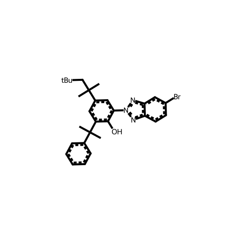 CC(C)(C)CC(C)(C)c1cc(-n2nc3ccc(Br)cc3n2)c(O)c(C(C)(C)c2ccccc2)c1